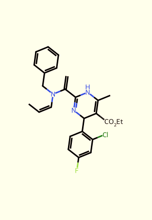 C=C(C1=NC(c2ccc(F)cc2Cl)C(C(=O)OCC)=C(C)N1)N(/C=C\C)Cc1ccccc1